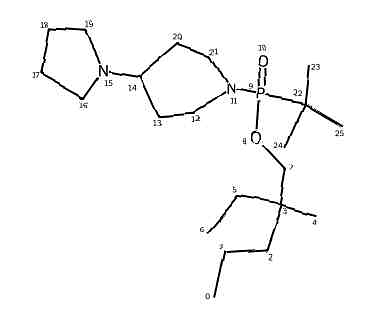 CCCC(C)(CC)COP(=O)(N1CCC(N2CCCC2)CC1)C(C)(C)C